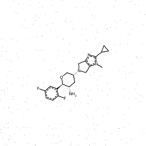 Cn1c(C2CC2)nc2c1CN([C@H]1CO[C@H](c3cc(F)ccc3F)[C@@H](N)C1)C2